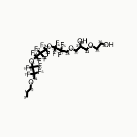 CCCOCC(F)(F)C(F)(F)OC(F)(F)C(F)(F)C(F)(F)OC(F)(F)C(F)(F)COCC(O)COCCO